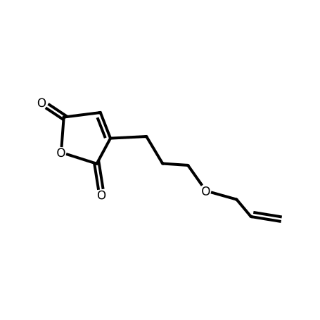 C=CCOCCCC1=CC(=O)OC1=O